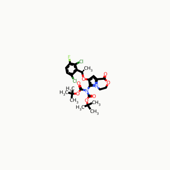 C[C@@H](Oc1cc2n(c1N(C(=O)OC(C)(C)C)C(=O)OC(C)(C)C)CCOC2=O)c1c(Cl)ccc(F)c1Cl